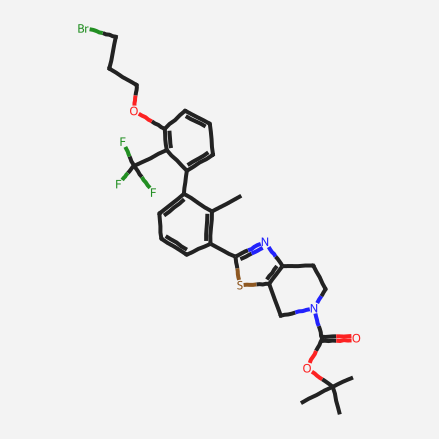 Cc1c(-c2nc3c(s2)CN(C(=O)OC(C)(C)C)CC3)cccc1-c1cccc(OCCCBr)c1C(F)(F)F